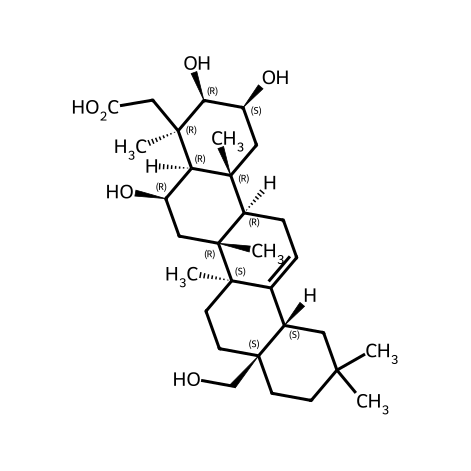 CC1(C)CC[C@]2(CO)CC[C@]3(C)C(=CC[C@@H]4[C@@]5(C)C[C@H](O)[C@H](O)[C@](C)(CC(=O)O)[C@@H]5[C@H](O)C[C@]43C)[C@@H]2C1